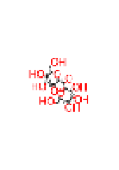 O=C([C@@H]1O[C@H](CO)[C@@H](O)[C@H](O)[C@H]1O)[C@@H]1O[C@H](CO)[C@@H](O)[C@H](O)[C@H]1O